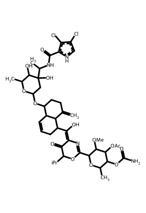 C=C1CCC(OC2CC(O)(C(C)NC(=O)c3[nH]cc(Cl)c3Cl)C(O)C(C)O2)C2C=CCC(/C(O)=C3/N=C(C4OC(C)C(OC(N)=O)C(OC(C)=O)C4OC)OC(C(C)C)C3=O)C12